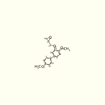 COc1ccc(-c2ccc(OC)c(OCC3CO3)c2)cc1